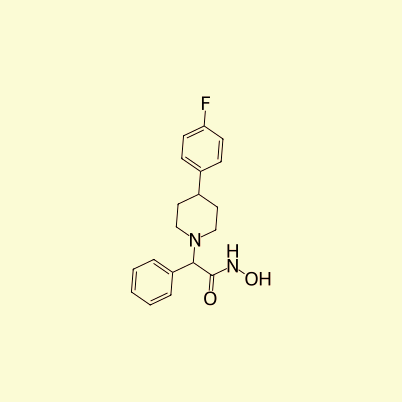 O=C(NO)C(c1ccccc1)N1CCC(c2ccc(F)cc2)CC1